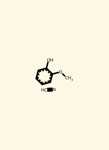 C#N.COc1ccccc1O